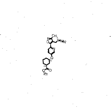 Cc1noc(-c2ccc(O[C@H]3CCC[C@H](C(=O)OC(C)C)C3)cn2)c1CN=[N+]=[N-]